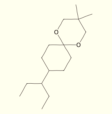 CCC(CC)C1CCC2(CC1)OCC(C)(C)CO2